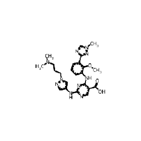 COc1c(Nc2nc(Nc3cnn(CCCN(C)C)c3)ncc2C(=O)O)cccc1-c1ncn(C)n1